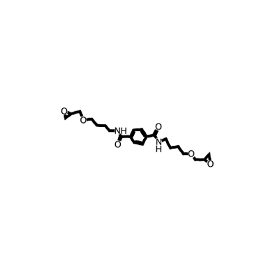 O=C(NCCCCOCC1CO1)c1ccc(C(=O)NCCCCOCC2CO2)cc1